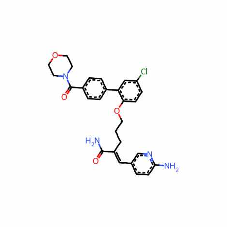 NC(=O)/C(=C/c1ccc(N)nc1)CCCOc1ccc(Cl)cc1-c1ccc(C(=O)N2CCOCC2)cc1